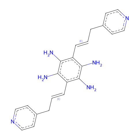 Nc1c(N)c(/C=C/Cc2ccncc2)c(N)c(N)c1/C=C/Cc1ccncc1